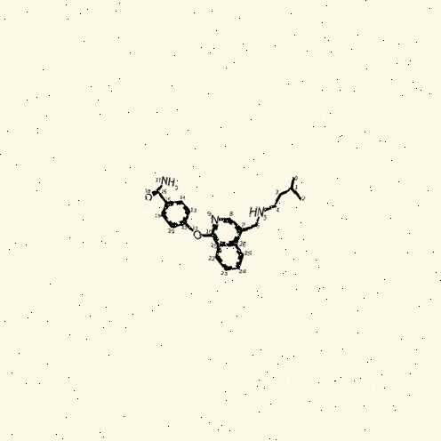 CC(C)CCNCc1cnc(Oc2ccc(C(N)=O)cc2)c2ccccc12